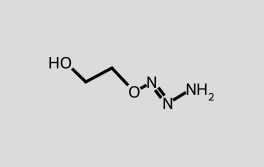 NN=NOCCO